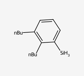 CCCCc1cccc([SiH3])c1CCCC